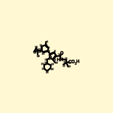 Cc1cc(-c2cc(C(=O)NCC(C)(C)C(=O)O)c(C)n2CC2CCCCC2)cc(C2(C)CC2)c1